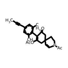 CC#Cc1cc(C)c(C2=C(OC(C)=O)CC3(C=CN(C(C)=O)CC3)CC2=O)c(C)c1